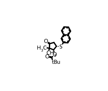 CC(C)(C)C(=O)O[C@@H]1[C@@H](Sc2ccc3ccccc3c2)CC(=O)C1(C)C